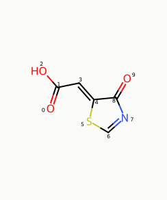 O=C(O)C=C1SC=NC1=O